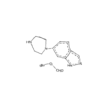 CC(C)(C)OC=O.c1cc2cn[nH]c2cc1N1CCNCC1